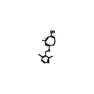 CC1=C/C(O)=C\CC/C(SCc2c(C)ccnc2C)=N\1